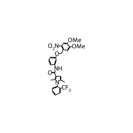 COc1cc(COc2cccc(NC(=O)c3cc(C)n(-c4ccccc4C(F)(F)F)c3C)c2)c([N+](=O)[O-])cc1OC